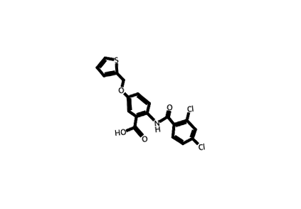 O=C(Nc1ccc(OCc2cccs2)cc1C(=O)O)c1ccc(Cl)cc1Cl